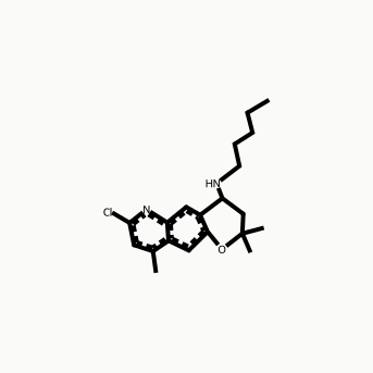 CCCCCNC1CC(C)(C)Oc2cc3c(C)cc(Cl)nc3cc21